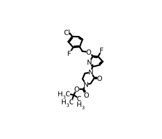 CC(C)(C)OC(=O)N1CCN(c2ccc(F)c(OCc3ccc(Cl)cc3F)n2)C(=O)C1